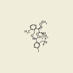 CNC(=O)/C(=N/OC)c1cccc(C)c1CO/N=C(\C)c1ccc(I)cc1CC(F)(F)F